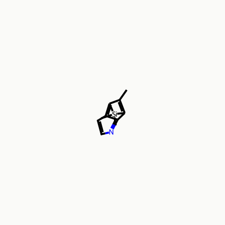 CC1=C2C3=NC=CC3=C1[Si]2(C)C